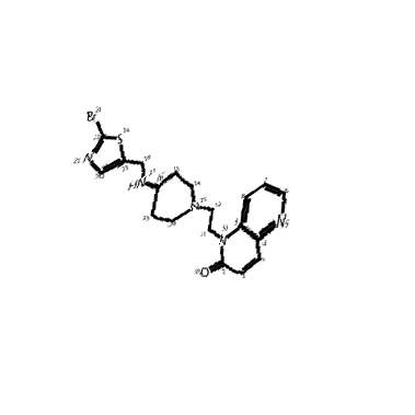 O=c1ccc2ncccc2n1CCN1CCC(NCc2cnc(Br)s2)CC1